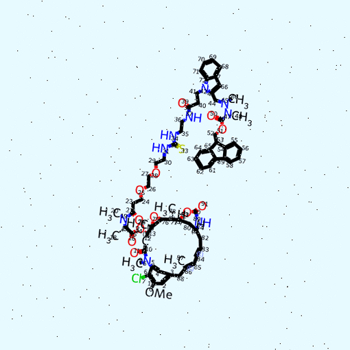 COc1cc2cc(c1Cl)N(C)C(=O)C[C@H](OC(=O)[C@H](C)N(C)C(=O)CCOCCOCCNC(=S)NCCNC(=O)CCn1c(CN(C)N(C)C(=O)OCC3c4ccccc4-c4ccccc43)cc3ccccc31)[C@]1(C)OC1[C@H](C)[C@@H]1C[C@H](C/C=C/C=C(\C)C2)NC(=O)O1